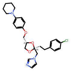 Clc1ccc(CC[C@]2(Cn3ccnc3)OC[C@H](COc3ccc(N4CCCCC4)cc3)O2)cc1